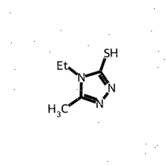 CCn1c(C)nnc1S